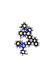 CC1C=CC=C(C2=CC(c3ccc(-c4c(-c5ccc(C6=NC7=C(C=CCC7C)C7C6C6=C(C=CCC6C)N7C6(C)CC=CCC6C)cc5)ccc5ccccc45)cc3)=NC(C3(C)C=CC=CC3)N2)C1